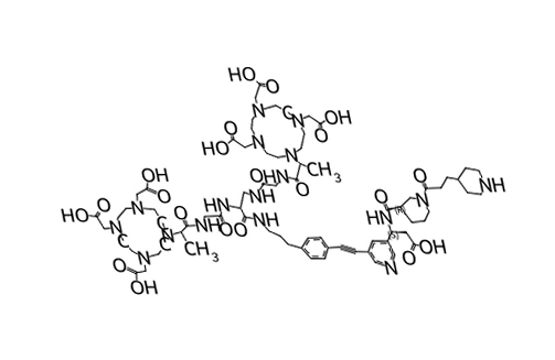 CC(C(=O)NCC(=O)NCC(NC(=O)CNC(=O)C(C)N1CCN(CC(=O)O)CCN(CC(=O)O)CCN(CC(=O)O)CC1)C(=O)NCCCc1ccc(C#Cc2cncc([C@H](CC(=O)O)NC(=O)[C@@H]3CCCN(C(=O)CCC4CCNCC4)C3)c2)cc1)N1CCN(CC(=O)O)CCN(CC(=O)O)CCN(CC(=O)O)CC1